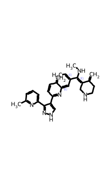 C=C1CCNC\C1=C(NC)/C(=C/C)/C=c1/nc(-c2c[nH]nc2-c2cccc(C)n2)ccc1=C